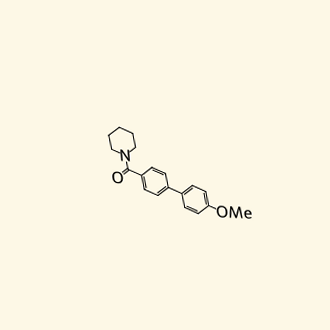 COc1ccc(-c2ccc(C(=O)N3CCCCC3)cc2)cc1